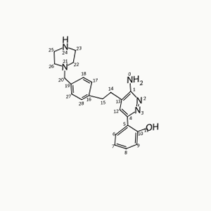 Nc1nnc(-c2ccccc2O)cc1CCc1ccc(CN2CCNCC2)cc1